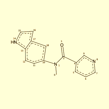 CN(C(=O)c1cccnc1)c1ccc2[nH]ccc2c1